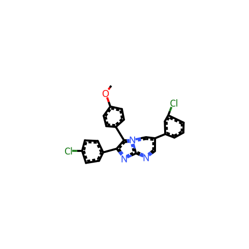 COc1ccc(-c2c(-c3ccc(Cl)cc3)nc3ncc(-c4cccc(Cl)c4)cn23)cc1